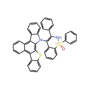 O=[SH]1(c2ccccc2)NC(c2ccccc2)=C(n2c3ccccc3c3c4ccccc4c4c5ccccc5sc4c32)c2ccccc21